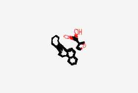 O=C(O)c1ccoc1.c1ccc2c(c1)ccc1c3c(ccc12)CCCC3